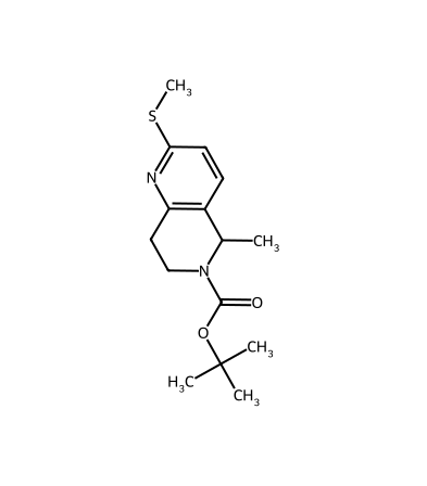 CSc1ccc2c(n1)CCN(C(=O)OC(C)(C)C)C2C